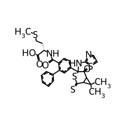 CSCC[C@H](NC(=O)c1ccc(C2(Nc3nccs3)SC(=S)C3C(C2=O)C3(C)C)cc1-c1ccccc1)C(=O)O